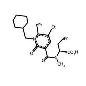 CCCc1c(CC)cc(C(=O)N(C)[C@@H](CC(C)C)C(=O)O)c(=O)n1CC1CCCCC1